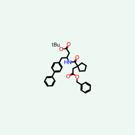 CC(C)(C)OC(=O)CC(Cc1ccc(-c2ccccc2)cc1)NC(=O)C1(CC(=O)OCc2ccccc2)CCCC1